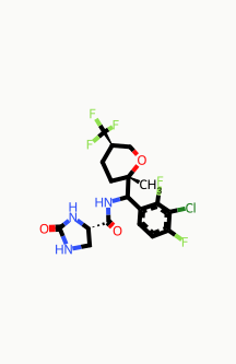 C[C@@]1(C(NC(=O)[C@@H]2CNC(=O)N2)c2ccc(F)c(Cl)c2F)CC[C@@H](C(F)(F)F)CO1